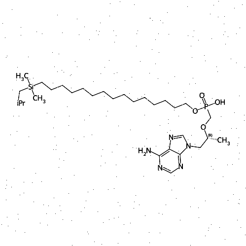 CC(C)C[Si](C)(C)CCCCCCCCCCCCCCCOP(=O)(O)CO[C@H](C)Cn1cnc2c(N)ncnc21